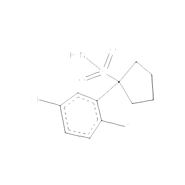 NS(=O)(=O)C1(c2cc(Cl)ccc2F)CCCC1